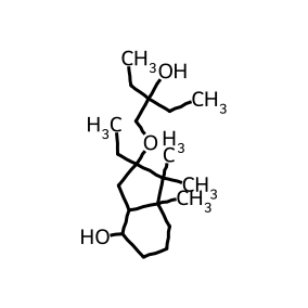 CCC(O)(CC)COC1(CC)CC2C(O)CCCC2(C)C1(C)C